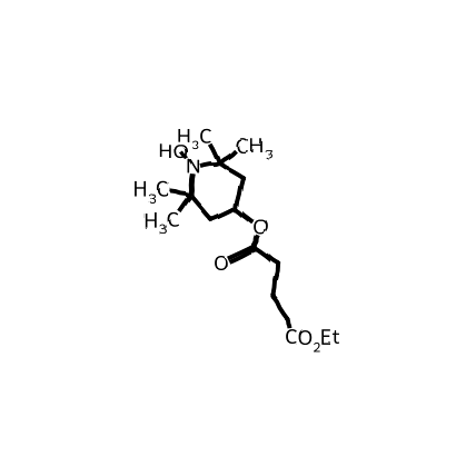 CCOC(=O)CCCC(=O)OC1CC(C)(C)N(O)C(C)(C)C1